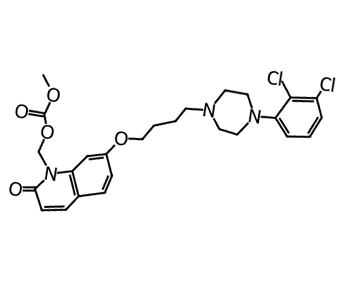 COC(=O)OCn1c(=O)ccc2ccc(OCCCCN3CCN(c4cccc(Cl)c4Cl)CC3)cc21